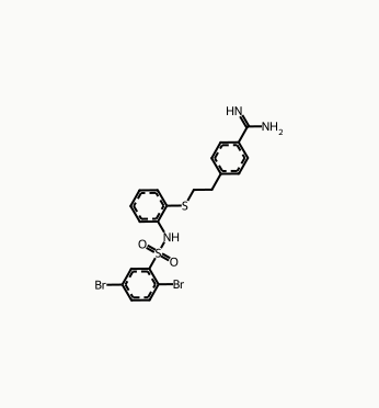 N=C(N)c1ccc(CCSc2ccccc2NS(=O)(=O)c2cc(Br)ccc2Br)cc1